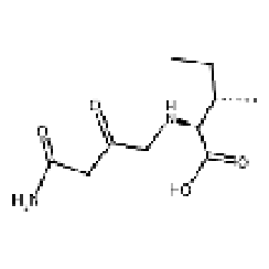 CC[C@H](C)[C@H](NCC(=O)CC(N)=O)C(=O)O